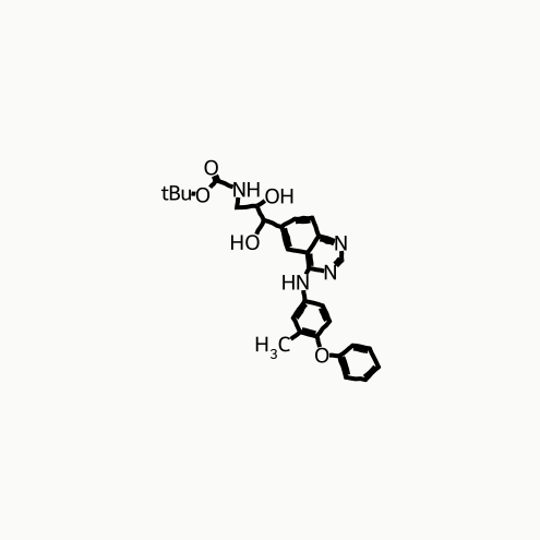 Cc1cc(Nc2ncnc3ccc(C(O)C(O)CNC(=O)OC(C)(C)C)cc23)ccc1Oc1ccccc1